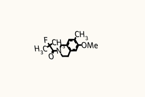 COc1cc2c(cc1C)CN(C(=O)C(C)(C)F)CC2